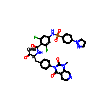 COC(=O)[C@H](Cc1ccc(-n2c(=O)c3ccncc3n(C)c2=O)cc1)NC(=O)c1c(F)cc(NS(=O)(=O)c2ccc(-n3cccn3)cc2)cc1F